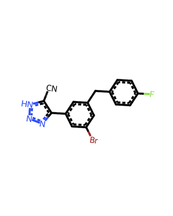 N#Cc1[nH]nnc1-c1cc(Br)cc(Cc2ccc(F)cc2)c1